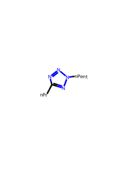 CCCCCn1nnc(CCC)n1